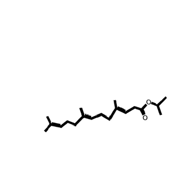 CC(C)=CCC/C(C)=C/CC/C(C)=C/CC(=O)OC(C)C